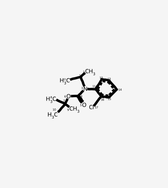 CC(C)N(C(=O)OC(C)(C)C)c1[c]cccc1Cl